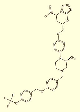 C[C@H]1CN(Cc2ccc(OCc3ccc(OC(F)(F)F)cc3)cc2)CCN1c1ccc(OC[C@@H]2CC([N+](=O)[O-])n3ccnc3O2)cc1